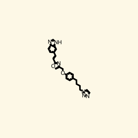 C(=C\c1nc(COc2ccc(CCCCn3ccnn3)cc2)co1)/c1ccc2nc[nH]c2c1